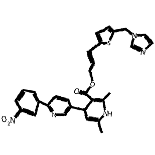 CC1=CC(c2ccc(-c3cccc([N+](=O)[O-])c3)nc2)C(C(=O)OC/C=C/c2ccc(Cn3ccnc3)s2)=C(C)N1